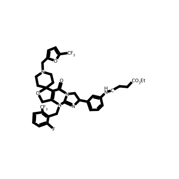 CCOC(=O)CCCNc1cccc(C2CN3C(=O)C4=C(COC45CCN(Cc4ccc(C(F)(F)F)o4)CC5)N(Cc4c(F)cccc4C(F)(F)F)C3=N2)c1